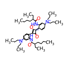 CCCCC(CC)C(=O)NC1=CC(=[N+](CCC)CCC)C=C/C1=C1\C(=O)C(c2ccc(N(CCC)CCC)cc2NC(=O)C(CC)CCCC)=C1[O-]